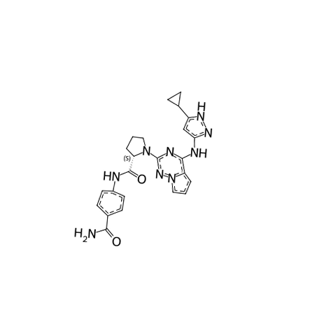 NC(=O)c1ccc(NC(=O)[C@@H]2CCCN2c2nc(Nc3cc(C4CC4)[nH]n3)c3cccn3n2)cc1